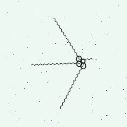 [CH2]CCCc1cc(OCCCCCCCCCCCCCCCCCCCCCCCC)c(OCCCCCCCCCCCCCCCCCCCCCCCC)c(OCCCCCCCCCCCCCCCCCCCCCCCC)c1